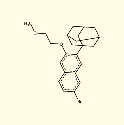 COCCOc1cc2ccc(Br)cc2cc1C12CC3CC(CC(C3)C1)C2